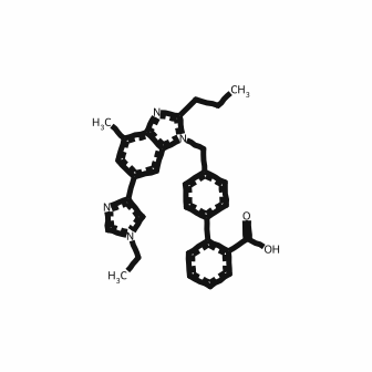 CCCc1nc2c(C)cc(-c3cn(CC)cn3)cc2n1Cc1ccc(-c2ccccc2C(=O)O)cc1